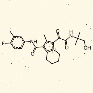 Cc1cc(NC(=O)c2c(C)c(C(=O)C(=O)NC(C)(C)CO)n3c2CCCC3)ccc1F